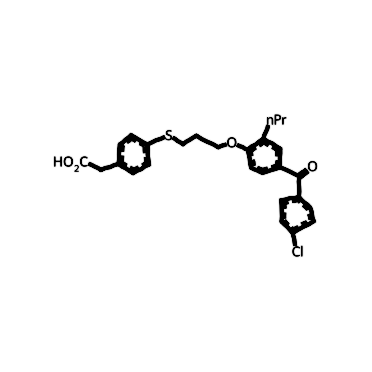 CCCc1cc(C(=O)c2ccc(Cl)cc2)ccc1OCCCSc1ccc(CC(=O)O)cc1